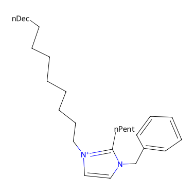 CCCCCCCCCCCCCCCCCC[n+]1ccn(Cc2ccccc2)c1CCCCC